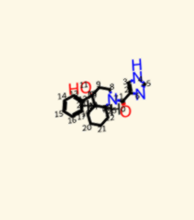 O=C(c1c[nH]cn1)N1CC[C@](O)(c2ccccc2)[C@H]2CCCC[C@H]21